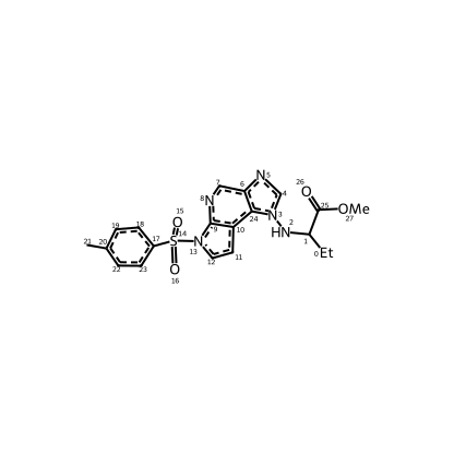 CCC(Nn1cnc2cnc3c(ccn3S(=O)(=O)c3ccc(C)cc3)c21)C(=O)OC